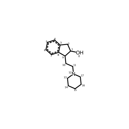 OC1Cc2ccccc2C1CCN1CCCCC1